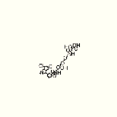 CN1Cc2c(Cl)cc(Cl)cc2C(c2cccc(S(=O)(=O)NCCOC(O)COCCOCCNC(=O)C[C@@H](O)C(=O)O)c2)C1